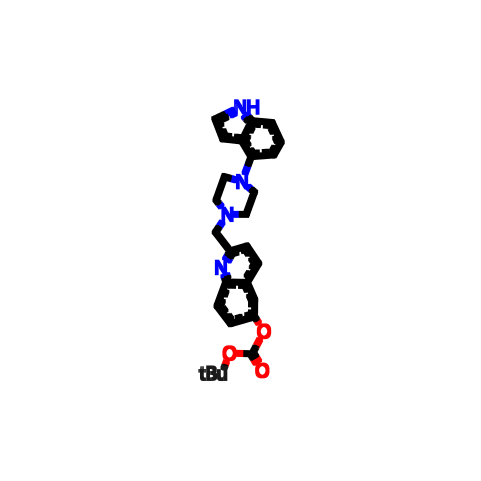 CC(C)(C)OC(=O)Oc1ccc2nc(CN3CCN(c4cccc5[nH]ccc45)CC3)ccc2c1